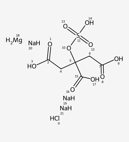 Cl.O=C(O)CC(CC(=O)O)(OS(=O)(=O)O)C(=O)O.[MgH2].[NaH].[NaH].[NaH]